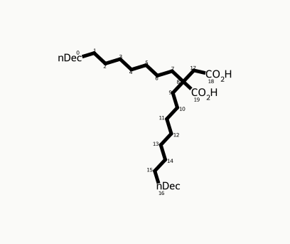 CCCCCCCCCCCCCCCCCC(CCCCCCCCCCCCCCCCC)(CC(=O)O)C(=O)O